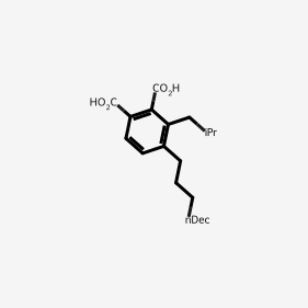 CCCCCCCCCCCCCc1ccc(C(=O)O)c(C(=O)O)c1CC(C)C